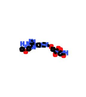 Nc1ncnc2c1c(-c1ccc(Oc3ccccc3)cc1)nn2C1CCC(N2CCN(CCOc3ccc4c(c3)C(=O)N(C3CCC(=O)NC3=O)C4=O)CC2)CC1